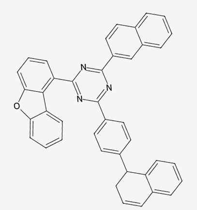 C1=Cc2ccccc2C(c2ccc(-c3nc(-c4ccc5ccccc5c4)nc(-c4cccc5oc6ccccc6c45)n3)cc2)C1